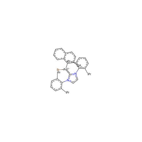 Cc1ccc2ccccc2[c]1[Pd-2]([Br])=[c]1n(-c2c(C(C)C)cccc2C(C)C)ccn1-c1c(C(C)C)cccc1C(C)C